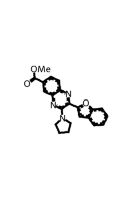 COC(=O)c1ccc2nc(-c3cc4ccccc4o3)c(N3CCCC3)nc2c1